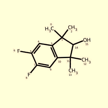 CC1(C)c2cc(F)c(F)cc2C(C)(C)C1O